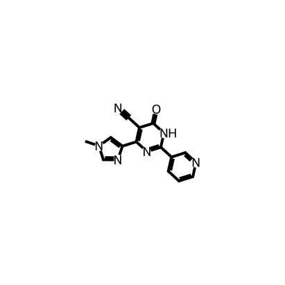 Cn1cnc(-c2nc(-c3cccnc3)[nH]c(=O)c2C#N)c1